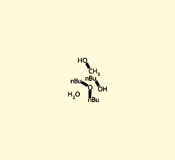 CCCCO.CCCCOCCCC.CO.O